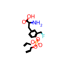 C=CCOP(=O)(OCC=C)Oc1ccc(CC(N)C(=O)O)cc1CF